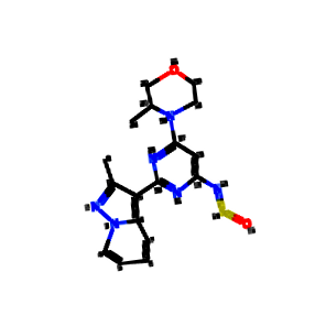 Cc1nn2ccccc2c1-c1nc(N=S=O)cc(N2CCOCC2C)n1